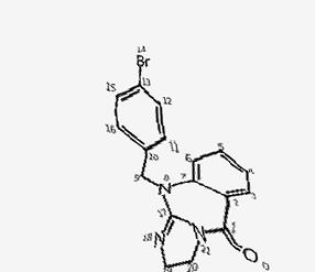 O=C1c2ccccc2N(Cc2ccc(Br)cc2)C2=NCCN12